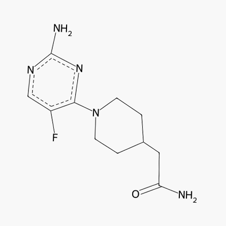 NC(=O)CC1CCN(c2nc(N)ncc2F)CC1